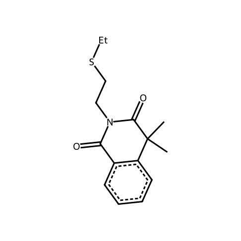 CCSCCN1C(=O)c2ccccc2C(C)(C)C1=O